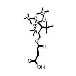 CC(C)(C)C(CCOC(=O)C=CC(=O)O)[Si](O[Si](C)(C)C)(O[Si](C)(C)C)O[Si](C)(C)C